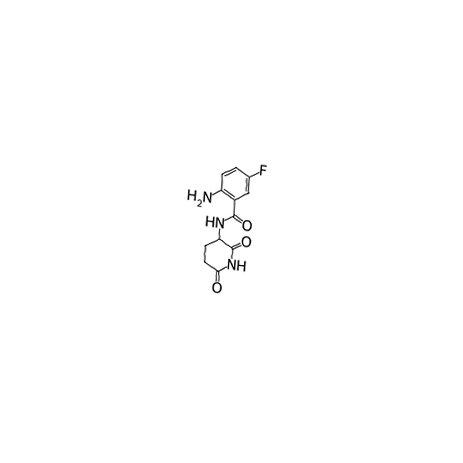 Nc1ccc(F)cc1C(=O)NC1CCC(=O)NC1=O